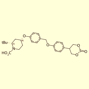 CC(C)(C)[C@@H]1C[C@H](Oc2ccc(COc3ccc(C4COS(=O)OC4)cc3)cc2)CCN1C(=O)O